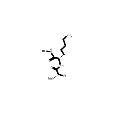 CN[C@H](C(=O)N[C@@H](CCCCN)C(=O)NC(C)(C)C)C(C)C